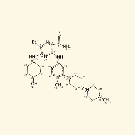 CCc1nc(C(N)=O)c(Nc2ccc(C)c(N3CCC(N4CCN(C)CC4)CC3)c2)nc1N[C@H]1CC[C@H](O)CC1